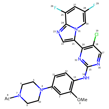 COc1cc(N2CCN(C(C)=O)CC2)ccc1Nc1ncc(Cl)c(-c2cnc3c(F)cc(F)cn23)n1